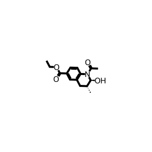 CCOC(=O)c1ccc2c(c1)C[C@@H](C)[C@H](O)N2C(C)=O